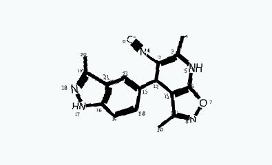 [C-]#[N+]C1=C(C)Nc2onc(C)c2C1c1ccc2[nH]nc(C)c2c1